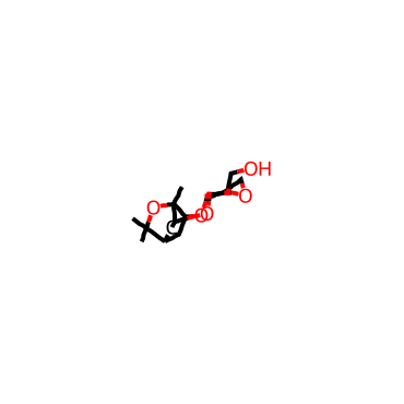 CC1(C)OC2(C)C(OCCCO)CC1CC2OCC1CO1